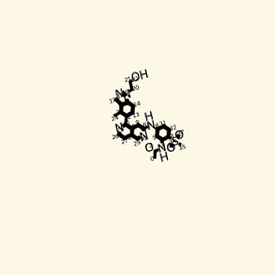 CC(=O)Nc1cc(Nc2cc3c(-c4ccc5c(cnn5CCO)c4C)nccc3cn2)ccc1S(C)(=O)=O